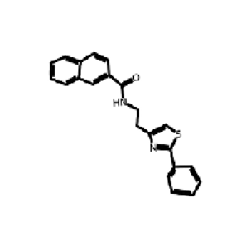 O=C(NCCc1csc(-c2ccccc2)n1)c1ccc2ccccc2c1